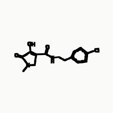 CN1CC(C(=O)NCCc2ccc(Cl)cc2)=C(O)C1=O